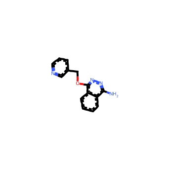 Nc1nnc(OCc2cccnc2)c2ccccc12